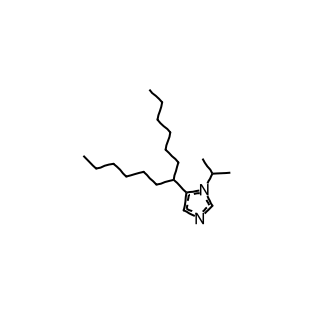 CCCCCCC(CCCCCC)c1cncn1C(C)C